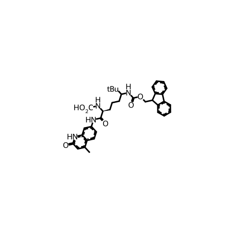 Cc1cc(=O)[nH]c2cc(NC(=O)[C@H](CCCC(NC(=O)OCC3c4ccccc4-c4ccccc43)C(C)(C)C)NC(=O)O)ccc12